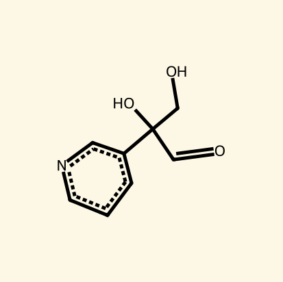 O=CC(O)(CO)c1cccnc1